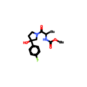 CC(C)(C)OC(=O)NC(C(=O)N1CCC(O)(c2ccc(F)cc2)C1)C(C)(C)C